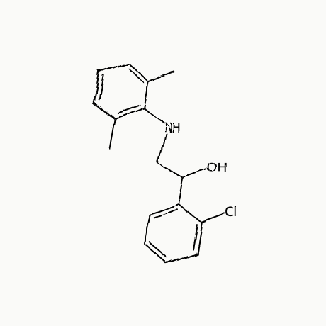 Cc1cccc(C)c1NCC(O)c1ccccc1Cl